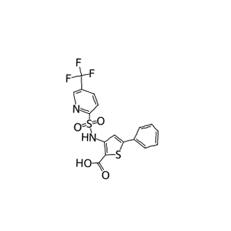 O=C(O)c1sc(-c2ccccc2)cc1NS(=O)(=O)c1ccc(C(F)(F)F)cn1